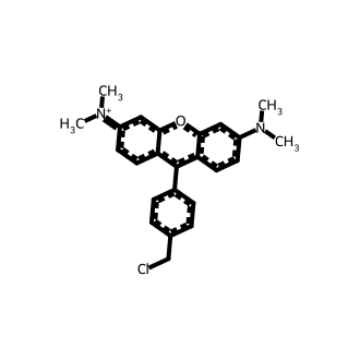 CN(C)c1ccc2c(-c3ccc(CCl)cc3)c3ccc(=[N+](C)C)cc-3oc2c1